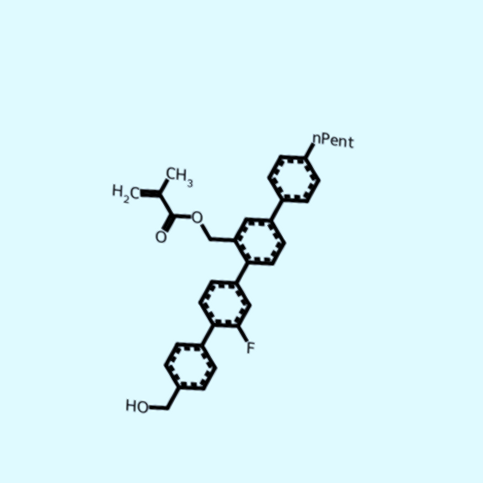 C=C(C)C(=O)OCc1cc(-c2ccc(CCCCC)cc2)ccc1-c1ccc(-c2ccc(CO)cc2)c(F)c1